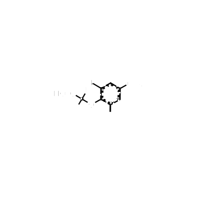 O=Cc1cc(I)c(OC(F)(F)C(=O)O)c(I)c1